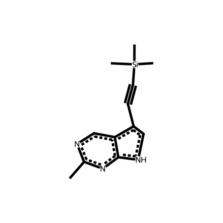 Cc1ncc2c(C#C[Si](C)(C)C)c[nH]c2n1